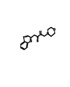 S=C(Cc1ccc2ccccc2n1)NCN1CCOCC1